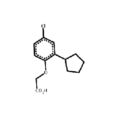 O=C(O)COc1ccc(Cl)cc1C1CCCC1